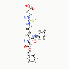 O=C(O)CCNC(=S)NCCCC[C@H](NCC(=O)OCc1ccccc1)C(=O)Nc1ccccc1